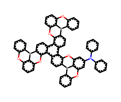 c1ccc(N(c2ccccc2)c2cc3c4c(c2)Oc2c(ccc5c6c7c(ccc6c6c8c(ccc6c25)B2c5ccccc5Oc5cccc(c52)O8)B2c5ccccc5Oc5cccc(c52)O7)B4c2ccccc2O3)cc1